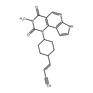 C#C/C=C/C1CCC(n2c(=O)n(C)c(=O)c3cnc4[nH]ccc4c32)CC1